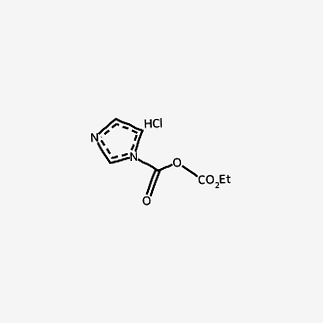 CCOC(=O)OC(=O)n1ccnc1.Cl